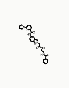 O=C(Cn1cc2cc(NC(=O)c3cccc(-n4cccn4)n3)ccc2n1)NCCNC(=O)c1ccccc1